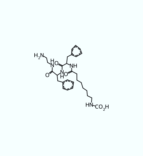 NCCNC(=O)C(Cc1ccccc1)NC(=O)C(Cc1ccccc1)NC(=O)CCCCCCCNC(=O)O